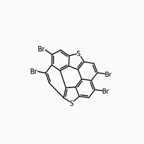 Brc1cc2sc3cc(Br)c4c(Br)cc5sc6cc(Br)c1c1c2c3c4c5c61